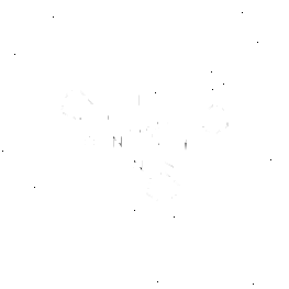 CS(=O)(=O)C1(C2CN(S(=O)(=O)c3ccccc3)CCN2c2ccccc2)C=CC=C(c2ccccc2)C1